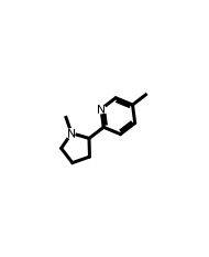 Cc1ccc(C2CCCN2C)nc1